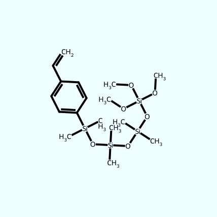 C=Cc1ccc([Si](C)(C)O[Si](C)(C)O[Si](C)(C)O[Si](OC)(OC)OC)cc1